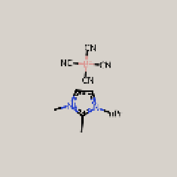 CCCn1cc[n+](C)c1C.N#C[B-](C#N)(C#N)C#N